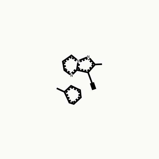 C#Cc1c(C)nn2cccnc12.Cc1ccccc1